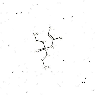 CC=C(OP(=O)(OCOC(C)=O)OCOC(C)=O)C(C)=O